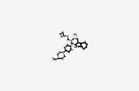 C[C@@H]1Cc2c([nH]c3ccccc23)[C@@H](c2ccc(N3CCC(C=O)CC3)cc2)N1CCC1CCC1